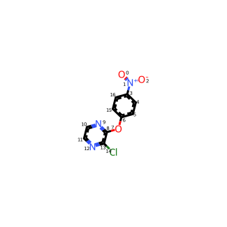 O=[N+]([O-])c1ccc(Oc2nccnc2Cl)cc1